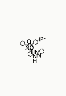 CC(C)c1ccc(NC(=O)[C@H](c2ccccc2)N(C)C(=O)c2cccc(Nc3nc4ccccc4[nH]3)c2)cc1